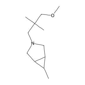 COCC(C)(C)CN1CC2C(C)C2C1